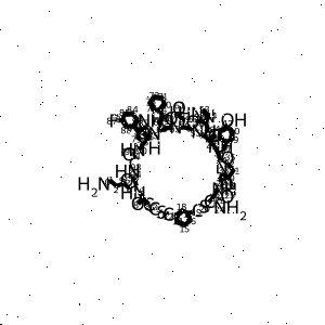 NCCCC[C@@H]1NC(=O)CCSCc2cccc(c2)CSC[C@@H](C(N)=O)NC(=O)[C@@H]2CCCN2C(=O)[C@H](Cc2ccc(O)cc2)NC(=O)[C@H](Cc2c[nH]cn2)NC(=O)[C@H](CC(=O)O)NC(=O)[C@H](CCc2ccccc2)NC(=O)[C@H](Cc2c[nH]c3ccc(F)cc23)NC(=O)CNC1=O